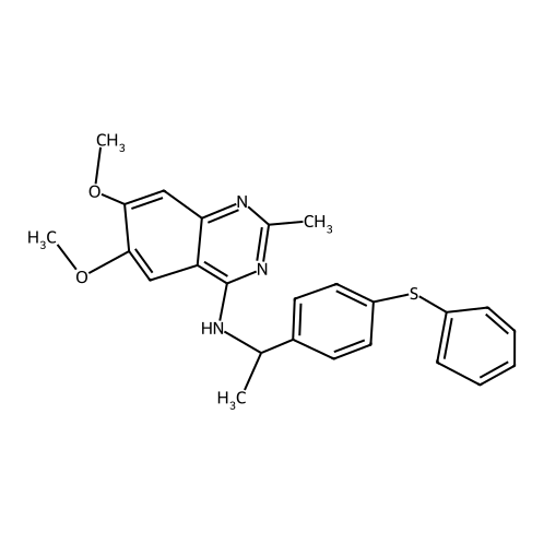 COc1cc2nc(C)nc(NC(C)c3ccc(Sc4ccccc4)cc3)c2cc1OC